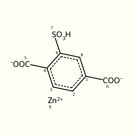 O=C([O-])c1ccc(C(=O)[O-])c(S(=O)(=O)O)c1.[Zn+2]